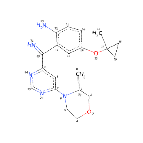 C[C@@H]1COCCN1c1cc(C(=N)c2cc(OC3(C)CC3)ccc2N)ncn1